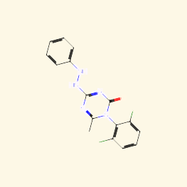 Cc1nc(NNc2ccccc2)nc(=O)n1-c1c(Cl)cccc1Cl